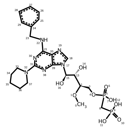 CO[C@H](COP(=O)(O)CP(=O)(O)O)[C@@H](O)[C@@H](O)n1cnc2c(NCc3ccccc3)nc(N3CCCCC3)nc21